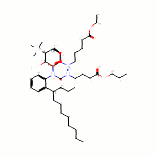 CCCCCCCCC(CCC)c1ccccc1N(C(=O)N(CCCC(=O)OCCC)N(CCCCC(=O)OCC)C(=O)CC)C1CCC[CH]([Sn]([CH3])([CH3])[CH3])C1O